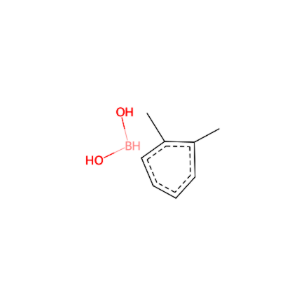 Cc1ccccc1C.OBO